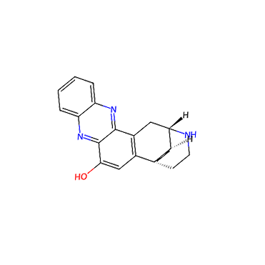 Oc1cc2c(c3nc4ccccc4nc13)C[C@@H]1NCC[C@]23CCCC[C@H]13